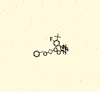 Cn1nnn(-c2cc(C(C)(C)C)c(F)cc2OC2CC(OCc3ccccc3)C2)c1=O